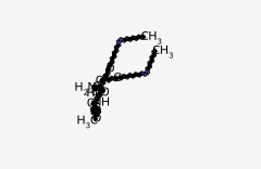 CCCCCCCC/C=C\CCCCCCCCOCCCN(CCCOCCCCCCCC/C=C\CCCCCCCC)C(=O)C[C@@H](OC(N)=O)C(=O)NCCNC(=O)c1ccc(OC)cc1